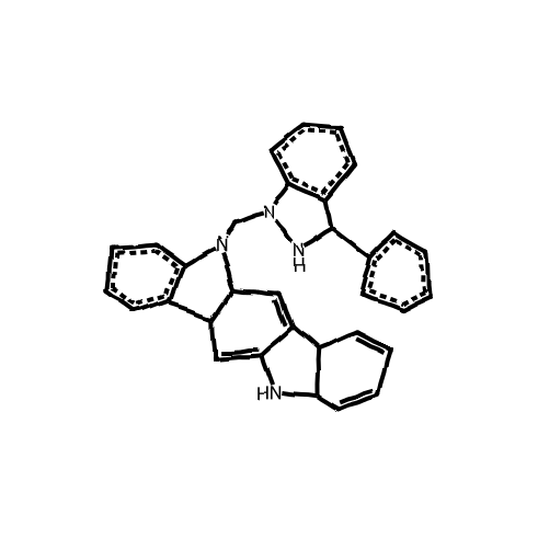 C1=CC2NC3=CC4c5ccccc5N(CN5NC(c6ccccc6)c6ccccc65)C4C=C3C2C=C1